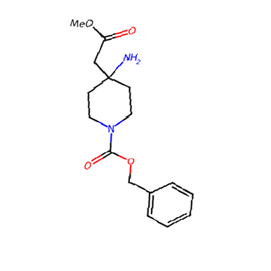 COC(=O)CC1(N)CCN(C(=O)OCc2ccccc2)CC1